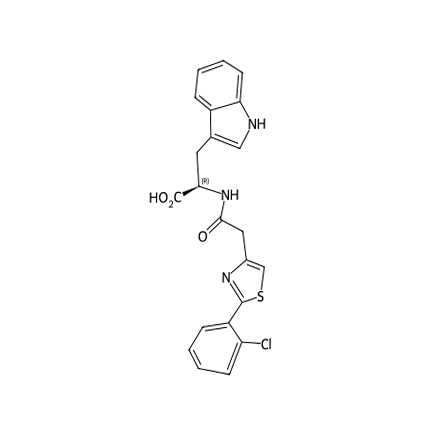 O=C(Cc1csc(-c2ccccc2Cl)n1)N[C@H](Cc1c[nH]c2ccccc12)C(=O)O